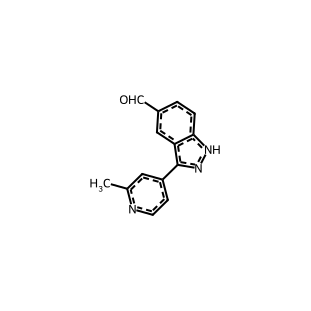 Cc1cc(-c2n[nH]c3ccc(C=O)cc23)ccn1